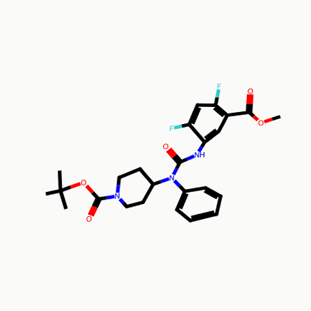 COC(=O)c1cc(NC(=O)N(c2ccccc2)C2CCN(C(=O)OC(C)(C)C)CC2)c(F)cc1F